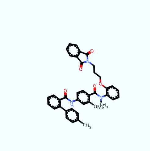 COc1cc(NC(=O)c2ccccc2-c2ccc(C)cc2)ccc1C(=O)N(C)c1ccccc1OCCCN1C(=O)c2ccccc2C1=O